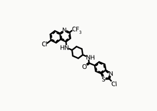 O=C(NC1CCC(Nc2cc(C(F)(F)F)nc3ccc(Cl)cc23)CC1)c1ccc2nc(Cl)sc2c1